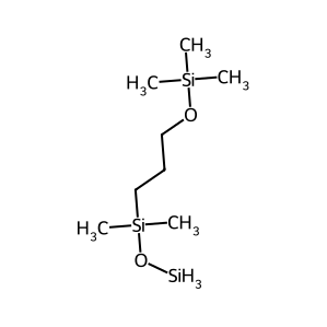 C[Si](C)(C)OCCC[Si](C)(C)O[SiH3]